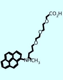 CC(CCCOCCOCCOCC(=O)O)Nc1ccc2ccc3cccc4ccc1c2c34